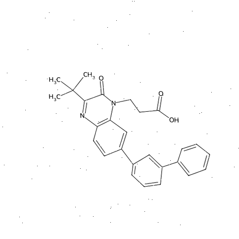 CC(C)(C)c1nc2ccc(-c3cccc(-c4ccccc4)c3)cc2n(CCC(=O)O)c1=O